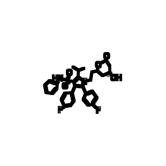 CC(C)c1c(S(=O)(=O)Nc2ccccc2)c(-c2ccc(F)cc2)c(-c2ccc(F)cc2)n1CCC1C[C@@H](O)CC(=O)O1